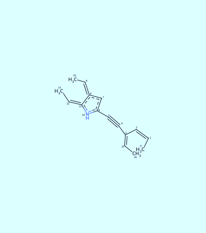 C/C=C\C(C#Cc1cc(=C/C)/c(=C\C)[nH]1)=C/C